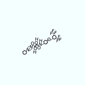 O=C(NCc1ccc(OCc2cc(C(F)(F)F)cc(C(F)(F)F)c2)cc1)[C@H](O)[C@@H](O)C(=O)N1CCN(c2ccccc2)CC1